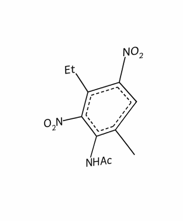 CCc1c([N+](=O)[O-])cc(C)c(NC(C)=O)c1[N+](=O)[O-]